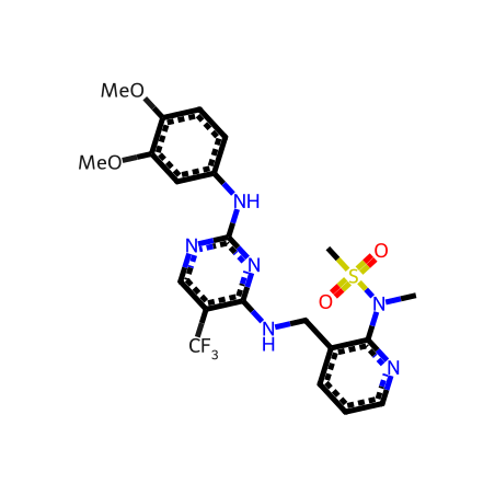 COc1ccc(Nc2ncc(C(F)(F)F)c(NCc3cccnc3N(C)S(C)(=O)=O)n2)cc1OC